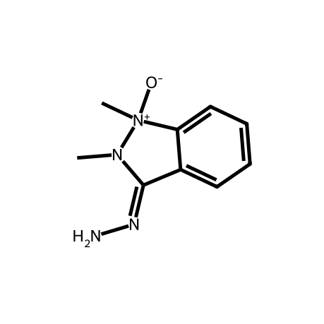 CN1C(=NN)c2ccccc2[N+]1(C)[O-]